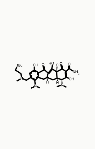 CN(CCC(C)(C)C)Cc1cc(O)c2c(c1N(C)C)C[C@H]1C[C@H]3[C@H](N(C)C)C(O)=C(C(N)=O)C(=O)[C@@]3(O)C(O)=C1C2=O